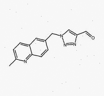 Cc1ccc2cc(Cn3cc(C=O)nn3)ccc2n1